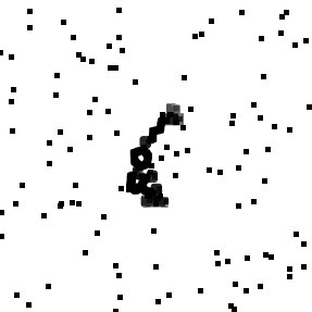 CCNCCCCO[C@H]1CC[C@H](n2cccc(C(=O)OC)c2=O)CC1